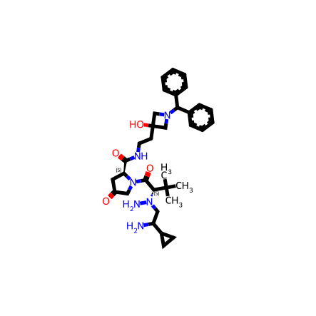 CC(C)(C)[C@@H](C(=O)N1CC(=O)C[C@H]1C(=O)NCCC1(O)CN(C(c2ccccc2)c2ccccc2)C1)N(N)CC(N)C1CC1